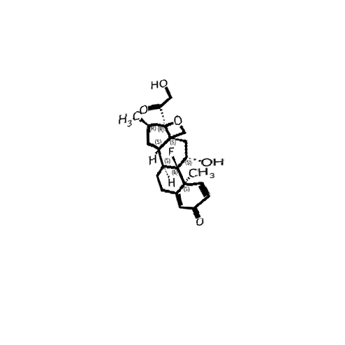 C[C@@H]1C[C@H]2[C@@H]3CCC4=CC(=O)C=C[C@]4(C)[C@@]3(F)[C@@H](O)C[C@@]23CO[C@]13C(=O)CO